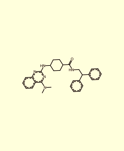 CN(C)c1nc(NC2CCC(C(=O)NCC(c3ccccc3)c3ccccc3)CC2)nc2ccccc12